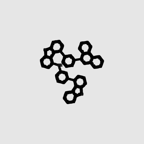 c1cc(Nc2cccc3oc4cccc(-c5cccc(-c6cc7ccccc7c7ccccc67)c5)c4c23)cc(-c2cccc3oc4ccccc4c23)c1